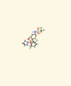 O=S(=O)(NC1CCC(c2cc(F)ccc2F)(S(=O)(=O)N2CC=CC2)CC1)C(F)(F)F